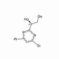 CCc1cc(C(C)C)nc([C@@H](O)CO)n1